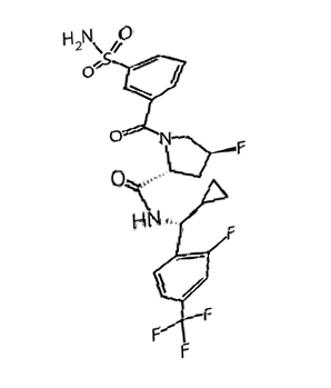 NS(=O)(=O)c1cccc(C(=O)N2C[C@@H](F)C[C@@H]2C(=O)N[C@@H](c2ccc(C(F)(F)F)cc2F)C2CC2)c1